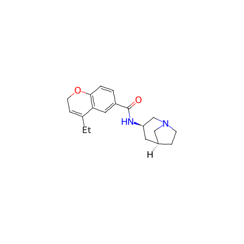 CCC1=CCOc2ccc(C(=O)N[C@@H]3C[C@@H]4CCN(C4)C3)cc21